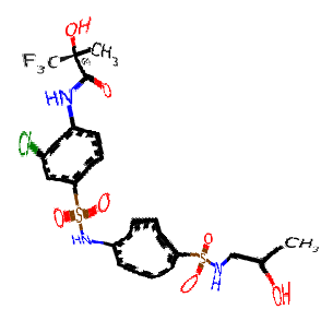 CC(O)CNS(=O)(=O)c1ccc(NS(=O)(=O)c2ccc(NC(=O)[C@@](C)(O)C(F)(F)F)c(Cl)c2)cc1